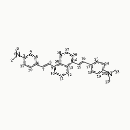 CN(C)c1ccc(C=Cc2cccc3c(C=Cc4ccc(N(C)C)cc4)cccc23)cc1